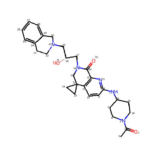 CC(=O)N1CCC(Nc2ccc3c(n2)C(=O)N(C[C@H](O)CN2CCc4ccccc4C2)CC32CC2)CC1